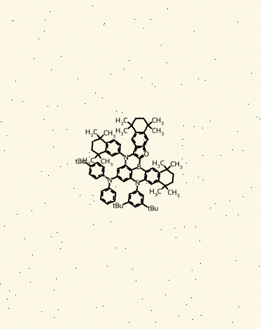 CC(C)(C)c1ccc(N(c2ccccc2)c2cc3c4c(c2)N(c2ccc5c(c2)C(C)(C)CCC5(C)C)c2c(oc5cc6c(cc25)C(C)(C)CCC6(C)C)B4c2cc4c(cc2N3c2cc(C(C)(C)C)cc(C(C)(C)C)c2)C(C)(C)CCC4(C)C)cc1